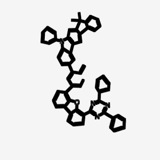 C=C/C(=C\C(=C/C)c1cccc2c1oc1c(-c3nc(-c4ccccc4)nc(-c4ccccc4)n3)cccc12)c1ccc2c(c1)c1cc3c(cc1n2-c1ccccc1)C(C)(C)c1ccccc1-3